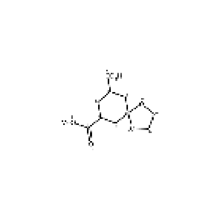 COC(=O)C1CC(C(=O)O)CC2(C1)OCCO2